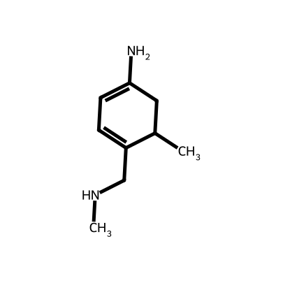 CNCC1=CC=C(N)CC1C